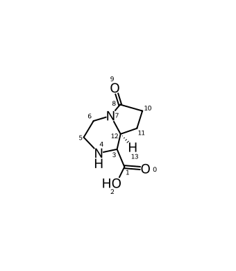 O=C(O)C1NCCN2C(=O)CC[C@@H]12